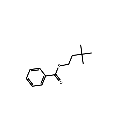 CC(C)(C)CCSC(=O)c1ccccc1